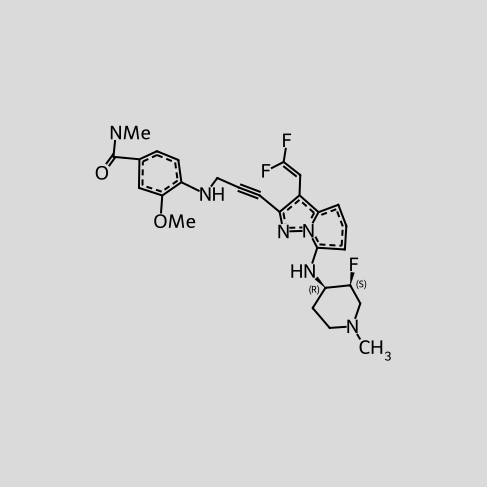 CNC(=O)c1ccc(NCC#Cc2nn3c(N[C@@H]4CCN(C)C[C@@H]4F)cccc3c2C=C(F)F)c(OC)c1